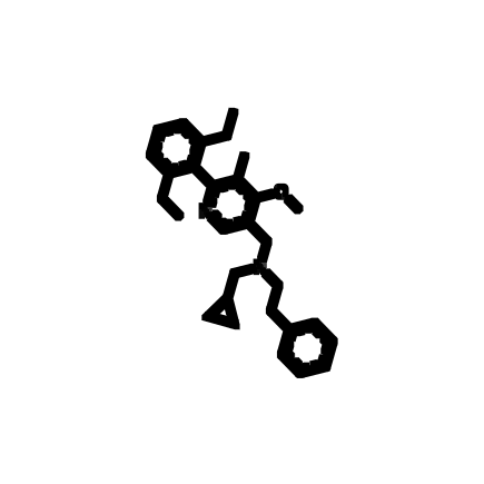 CCc1cccc(CC)c1-c1ncc(CN(CCc2ccccc2)CC2CC2)c(OC)c1C